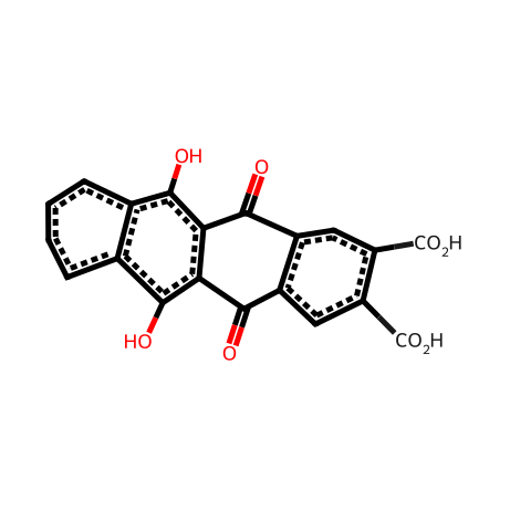 O=C(O)c1cc2c(cc1C(=O)O)C(=O)c1c(c(O)c3ccccc3c1O)C2=O